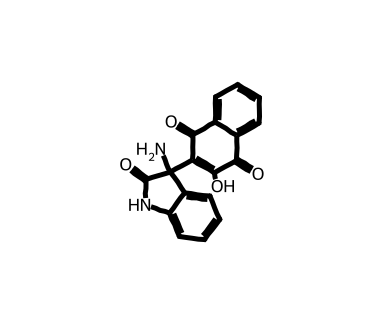 NC1(C2=C(O)C(=O)c3ccccc3C2=O)C(=O)Nc2ccccc21